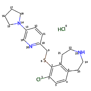 Cl.Clc1ccc2c(c1SCc1ccc(N3CCCC3)cn1)CCNCC2